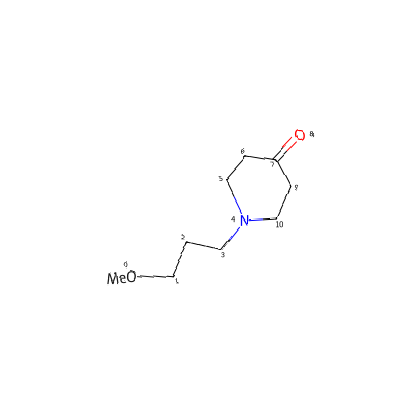 COCCCN1CCC(=O)CC1